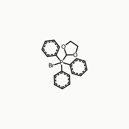 BrP(c1ccccc1)(c1ccccc1)(c1ccccc1)C1OCCO1